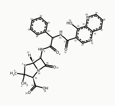 CC1(C)S[C@@H]2C(NC(=O)C(NC(=O)c3cnc4cccnc4c3O)c3ccccc3)C(=O)N2[C@H]1C(=O)O